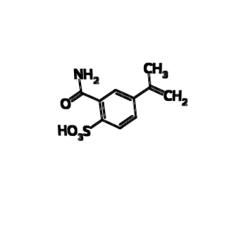 C=C(C)c1ccc(S(=O)(=O)O)c(C(N)=O)c1